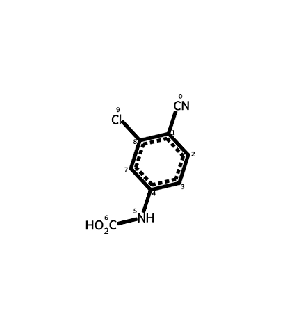 N#Cc1ccc(NC(=O)O)cc1Cl